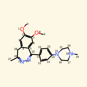 COc1cc2c(cc1OC)C(c1ccc(N3CCN(C)CC3)cc1)=NN=C(C)C2